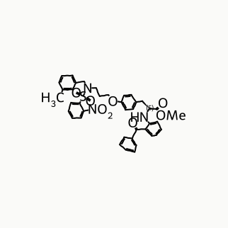 COC(=O)[C@H](Cc1ccc(OCCCN(Cc2cccc(C)c2)S(=O)(=O)c2ccccc2[N+](=O)[O-])cc1)Nc1ccccc1C(=O)c1ccccc1